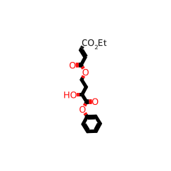 CCOC(=O)C=CC(=O)OCCC(O)C(=O)Oc1ccccc1